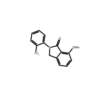 COc1cccc2c1C(=O)N(c1ccccc1C(F)(F)F)C2